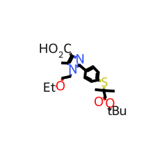 CCOCCn1c(-c2ccc(SC(C)(C)C(=O)OC(C)(C)C)cc2)nc(C(=O)O)c1C